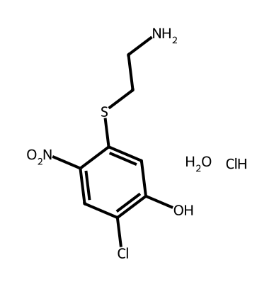 Cl.NCCSc1cc(O)c(Cl)cc1[N+](=O)[O-].O